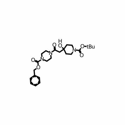 CC(C)(C)OC(=O)N1CCC(O)(CC(=O)N2CCN(C(=O)OCc3ccccc3)CC2)CC1